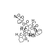 CCC(C)(CC(C)(CC(C)(C)C(=O)OC12CC3CC(CC(O)(C3)C1)C2)C(=O)OC1C2CC3C1OC(=O)C3(C#N)C2)C(=O)OC(C)(C)C1CCCCC1